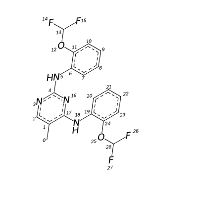 Cc1cnc(Nc2ccccc2OC(F)F)nc1Nc1ccccc1OC(F)F